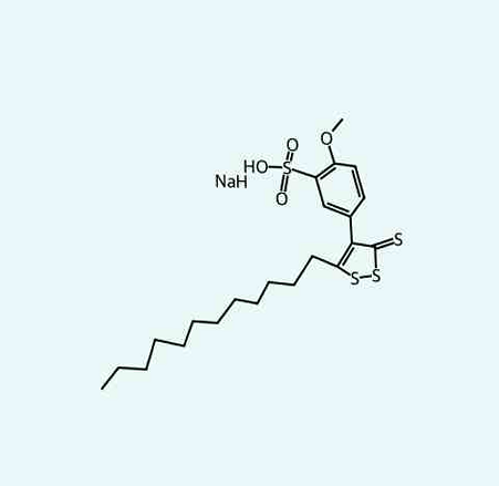 CCCCCCCCCCCCc1ssc(=S)c1-c1ccc(OC)c(S(=O)(=O)O)c1.[NaH]